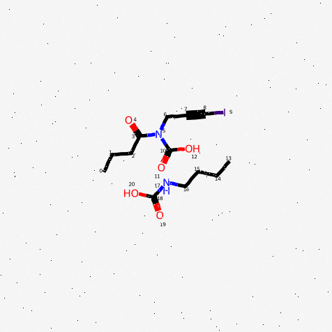 CCCC(=O)N(CC#CI)C(=O)O.CCCCNC(=O)O